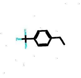 CCc1c[c]c(C(F)(F)F)cc1